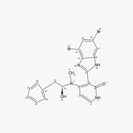 CN(c1cc[nH]c(=O)c1-c1nc2c(Br)cc(Br)cc2[nH]1)[C@@H](O)Cc1ccccc1